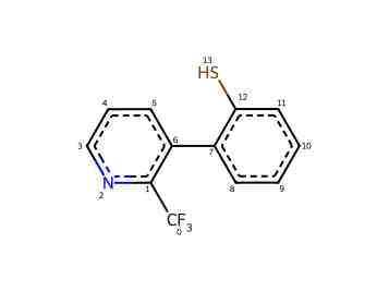 FC(F)(F)c1ncccc1-c1ccccc1S